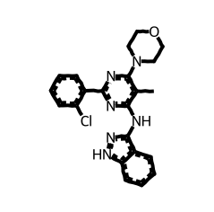 Cc1c(Nc2n[nH]c3ccccc23)nc(-c2ccccc2Cl)nc1N1CCOCC1